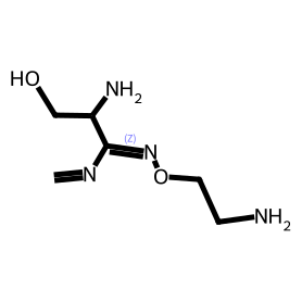 C=N/C(=N\OCCN)C(N)CO